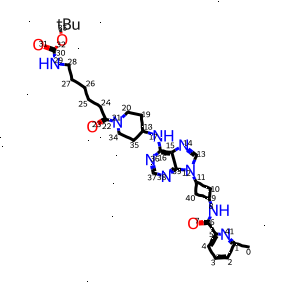 Cc1cccc(C(=O)NC2CC(n3cnc4c(NC5CCN(C(=O)CCCCCNC(=O)OC(C)(C)C)CC5)ncnc43)C2)n1